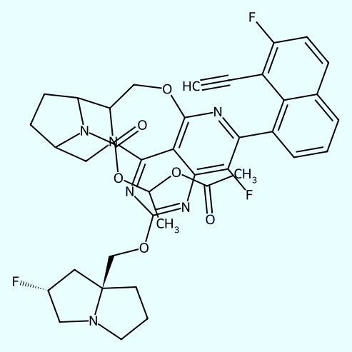 C#Cc1c(F)ccc2cccc(-c3nc4c5c(nc(OC[C@@]67CCCN6C[C@H](F)C7)nc5c3F)N3CC5CCC(C3CO4)N5C(=O)OC(C)OC(C)=O)c12